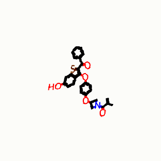 C=C(C)C(=O)N1CC(Oc2ccc(Oc3c(C(=O)c4ccccc4)sc4cc(O)ccc34)cc2)C1